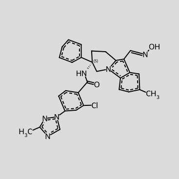 Cc1ccc2c(c1)c(C=NO)c1n2C[C@@](NC(=O)c2ccc(-n3cnc(C)n3)cc2Cl)(c2ccccc2)CC1